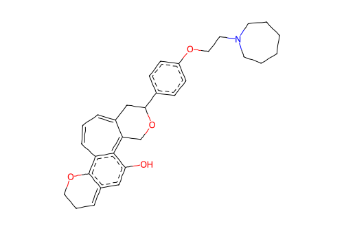 Oc1cc2c(c3c1=C1COC(c4ccc(OCCN5CCCCCC5)cc4)CC1=CC=C3)OCCC=2